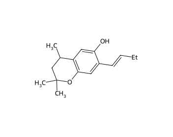 CC/C=C/c1cc2c(cc1O)C(C)CC(C)(C)O2